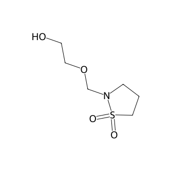 O=S1(=O)CCCN1COCCO